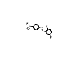 CC(C)C([O])c1ccc(OCc2cc(F)ccc2F)cc1